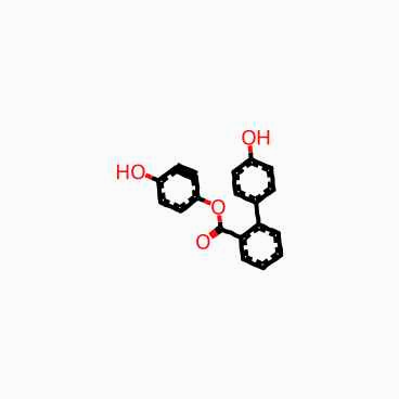 O=C(Oc1c#cc(O)cc1)c1ccccc1-c1ccc(O)cc1